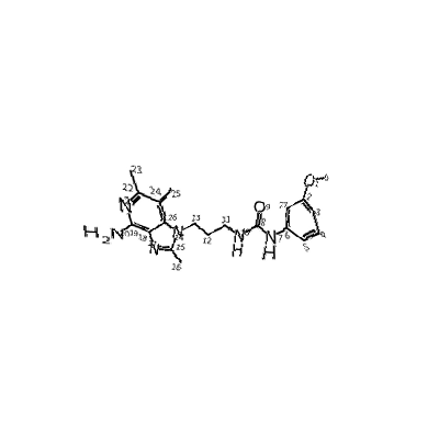 COc1cccc(NC(=O)NCCCn2c(C)nc3c(N)nc(C)c(C)c32)c1